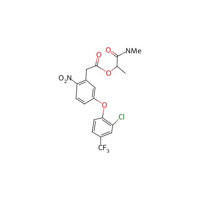 CNC(=O)C(C)OC(=O)Cc1cc(Oc2ccc(C(F)(F)F)cc2Cl)ccc1[N+](=O)[O-]